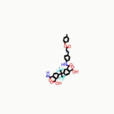 CNC(=O)c1ccc(C(c2ccc(C(=O)O)c(C(=O)Nc3ccc(/C=C/C(=O)Oc4ccc(C)cc4)cc3)c2)(C(F)(F)F)C(F)(F)F)cc1C(=O)O